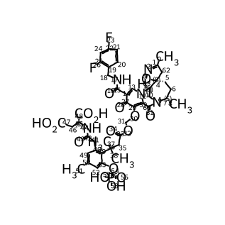 CC1=NO[C@@]2(CC[C@H](C)N3C[C@H]2n2cc(C(=O)NCc4ccc(F)cc4F)c(=O)c(OCOC(=O)CC(C)(C)c4c(CC(=O)N[C@@H](CC(=O)O)C(=O)O)cc(C)cc4OP(=O)(O)O)c2C3=O)C1